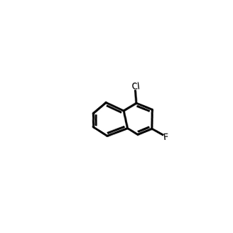 Fc1cc(Cl)c2ccccc2c1